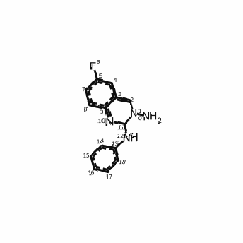 NN1C=c2cc(F)ccc2=NC1Nc1ccccc1